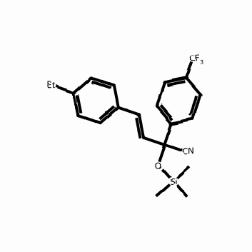 CCc1ccc(C=CC(C#N)(O[Si](C)(C)C)c2ccc(C(F)(F)F)cc2)cc1